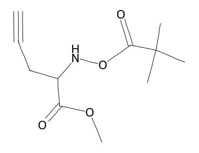 C#CCC(NOC(=O)C(C)(C)C)C(=O)OC